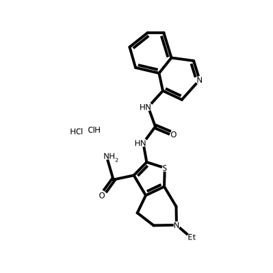 CCN1CCc2c(sc(NC(=O)Nc3cncc4ccccc34)c2C(N)=O)C1.Cl.Cl